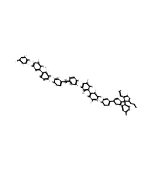 C=C/C=C1\CC=C(/C=C\C)C1(c1ccc(C)cc1)c1ccc(-c2ccc(Oc3c(F)c(F)c(-c4c(F)c(F)c(Oc5ccc(C(c6ccc(Oc7c(F)c(F)c(-c8c(F)c(F)c(Oc9ccc(C)cc9)c(F)c8F)c(F)c7F)cc6)(C(F)(F)F)C(F)(F)F)cc5)c(F)c4F)c(F)c3F)cc2)cc1